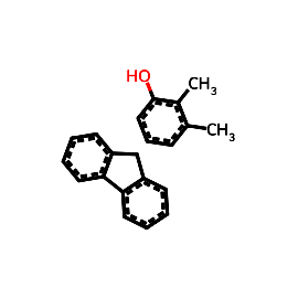 Cc1cccc(O)c1C.c1ccc2c(c1)Cc1ccccc1-2